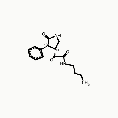 CCCCNC(=O)C(=O)[C@H]1CNC(=O)[C@@H]1c1ccccc1